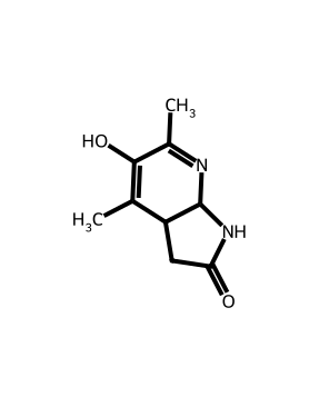 CC1=NC2NC(=O)CC2C(C)=C1O